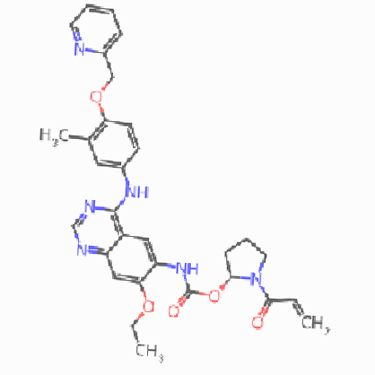 C=CC(=O)N1CCC[C@@H]1OC(=O)Nc1cc2c(Nc3ccc(OCc4ccccn4)c(C)c3)ncnc2cc1OCC